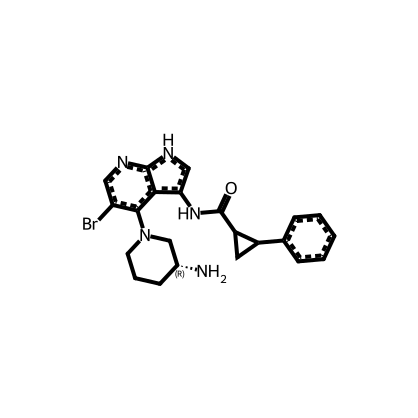 N[C@@H]1CCCN(c2c(Br)cnc3[nH]cc(NC(=O)C4CC4c4ccccc4)c23)C1